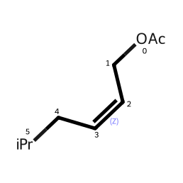 CC(=O)OC/C=C\CC(C)C